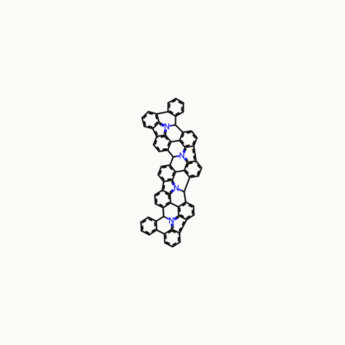 c1ccc2c(c1)-c1cccc3c4ccc5c6c4n(c13)C2c1ccc2c3ccc4c7c3n(c2c1-6)C5c1ccc2c3ccc5c6c3n(c2c1-7)C4c1ccc2c3cccc4c3n(c2c1-6)C5c1ccccc1-4